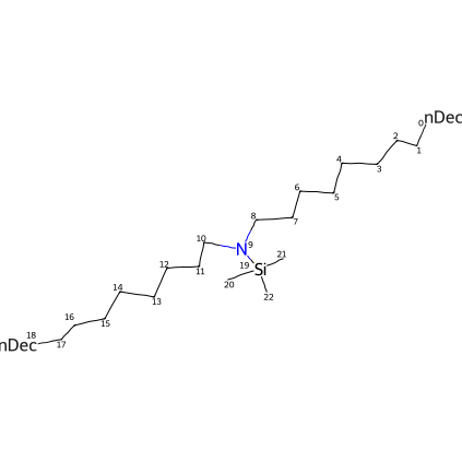 CCCCCCCCCCCCCCCCCCN(CCCCCCCCCCCCCCCCCC)[Si](C)(C)C